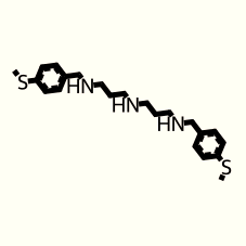 CSc1ccc(CNCCCNCCCNCc2ccc(SC)cc2)cc1